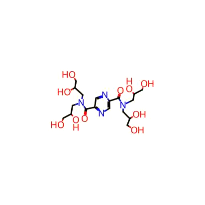 O=C(c1cnc(C(=O)N(CC(O)CO)CC(O)CO)cn1)N(CC(O)CO)CC(O)CO